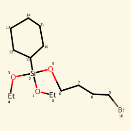 CCO[Si](OCC)(OCCCCBr)C1CCCCC1